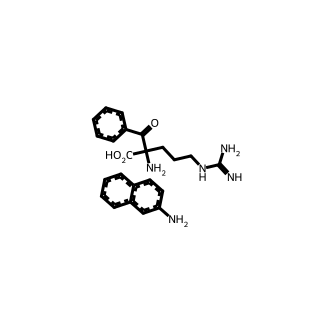 N=C(N)NCCCC(N)(C(=O)O)C(=O)c1ccccc1.Nc1ccc2ccccc2c1